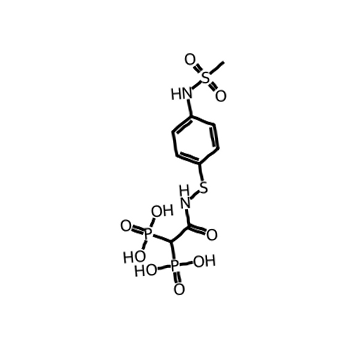 CS(=O)(=O)Nc1ccc(SNC(=O)C(P(=O)(O)O)P(=O)(O)O)cc1